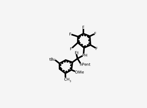 CCCCCC(CC)(Pc1c(F)c(F)c(F)c(F)c1F)c1cc(C(C)(C)C)cc(C)c1OC